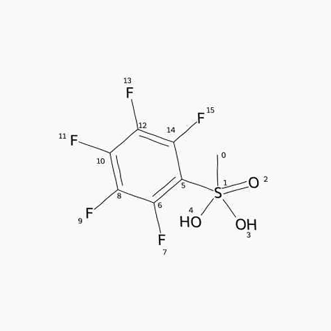 CS(=O)(O)(O)c1c(F)c(F)c(F)c(F)c1F